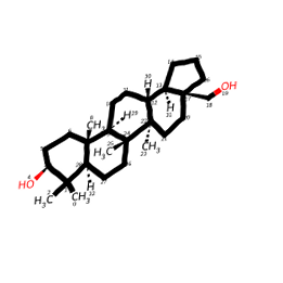 CC1(C)[C@@H](O)CC[C@]2(C)[C@H]3CC[C@@H]4[C@H]5CCC[C@]5(CO)CC[C@@]4(C)[C@]3(C)CC[C@@H]12